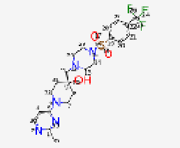 Cc1nccc(N2CCC(O)(CN3CCN(S(=O)(=O)c4ccc(C(F)(F)F)cc4)CC3)CC2)n1